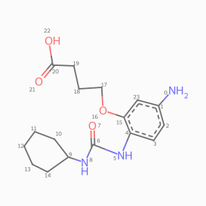 Nc1ccc(NC(=O)NC2CCCCC2)c(OCCCC(=O)O)c1